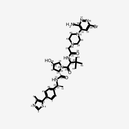 Cc1ncsc1-c1ccc([C@H](C)NC(=O)[C@@H]2C[C@@H](O)CN2C(=O)C(NC(=O)CN2CCN(c3cc(Br)nnc3N)CC2)C(C)(C)C)cc1